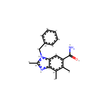 Cc1c(C(N)=O)cc2c(nc(C)n2Cc2ccccc2)c1C